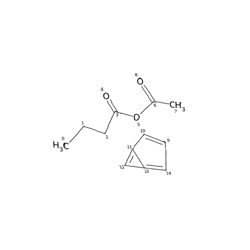 CCCC(=O)OC(C)=O.c1cc2cc-2c1